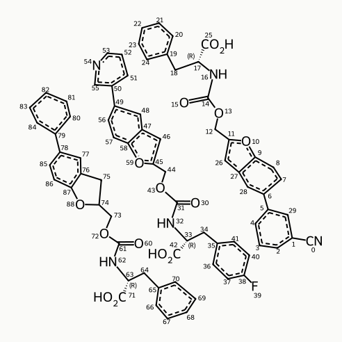 N#Cc1cccc(-c2ccc3oc(COC(=O)N[C@H](Cc4ccccc4)C(=O)O)cc3c2)c1.O=C(N[C@H](Cc1ccc(F)cc1)C(=O)O)OCc1cc2cc(-c3cccnc3)ccc2o1.O=C(N[C@H](Cc1ccccc1)C(=O)O)OCC1Cc2cc(-c3ccccc3)ccc2O1